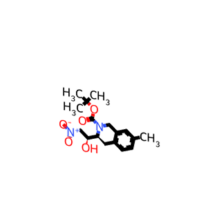 Cc1ccc2c(c1)CN(C(=O)OC(C)(C)C)[C@H]([C@H](O)C[N+](=O)[O-])C2